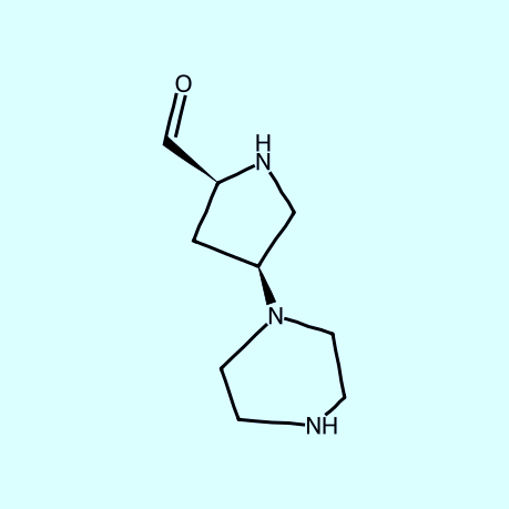 O=C[C@@H]1C[C@H](N2CCNCC2)CN1